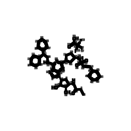 CCC(=O)N[C@H]1C[C@@H](n2cnc3c(NCC(c4ccccc4)c4ccccc4)nc(N4CC[C@@H](NS(=O)(=O)/C=C/c5ccccc5)C4)nc32)[C@H](O)[C@@H]1O.O=C(O)C(F)(F)F